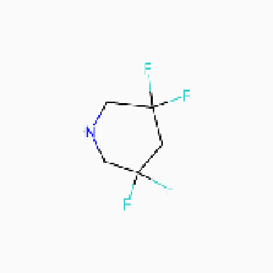 FC1(F)C[N]CC(F)(F)C1